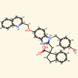 O=C(O)C1(Cc2nc3cc(OCc4ccc5ccccc5n4)ccc3n2Cc2ccc(Br)cc2)CCc2ccccc21